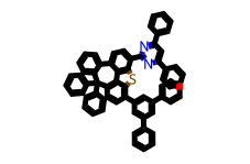 c1ccc(-c2cc(-c3ccccc3)cc(-c3ccc4c5c3sc3c(-c6nc(-c7ccccc7)cc(-c7ccccc7)n6)ccc(c35)-c3ccccc3C4(c3ccccc3)c3ccccc3)c2)cc1